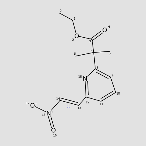 CCOC(=O)C(C)(C)c1cccc(/C=C/[N+](=O)[O-])n1